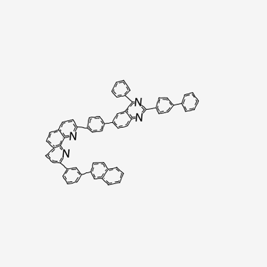 c1ccc(-c2ccc(-c3nc(-c4ccccc4)c4cc(-c5ccc(-c6ccc7ccc8ccc(-c9cccc(-c%10ccc%11ccccc%11c%10)c9)nc8c7n6)cc5)ccc4n3)cc2)cc1